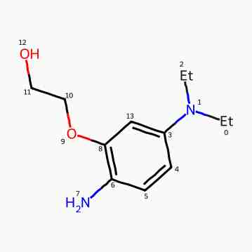 CCN(CC)c1ccc(N)c(OCCO)c1